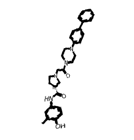 Cc1cc(NC(=O)[C@@H]2CCN(CC(=O)N3CCN(c4ccc(-c5ccccc5)cc4)CC3)C2)ccc1O